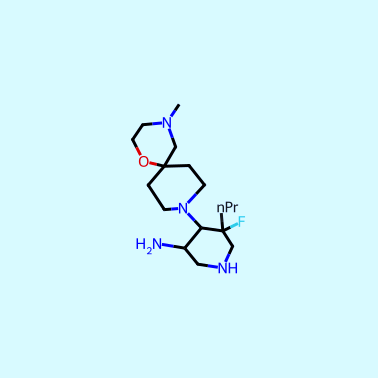 CCCC1(F)CNCC(N)C1N1CCC2(CC1)CN(C)CCO2